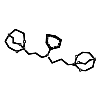 c1ccc(P(CCC[Si]23OCCN(CCO2)CCO3)CCC[Si]23OCCN(CCO2)CCO3)cc1